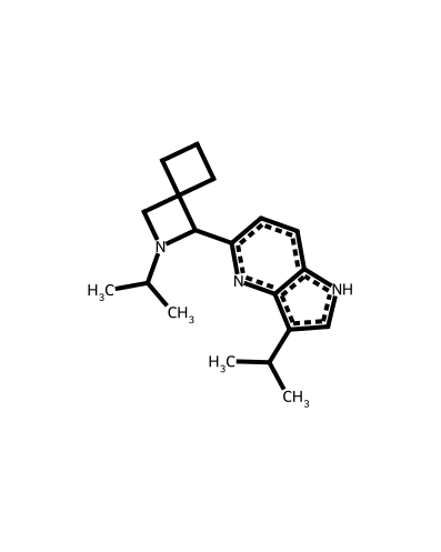 CC(C)c1c[nH]c2ccc(C3N(C(C)C)CC34CCC4)nc12